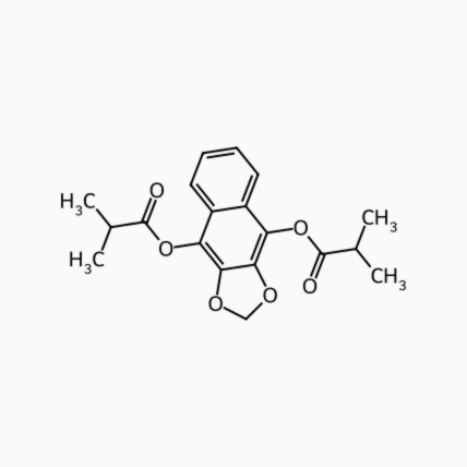 CC(C)C(=O)Oc1c2c(c(OC(=O)C(C)C)c3ccccc13)OCO2